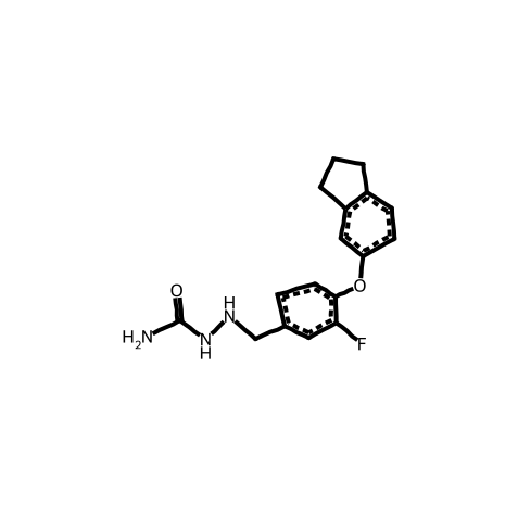 NC(=O)NNCc1ccc(Oc2ccc3c(c2)CCC3)c(F)c1